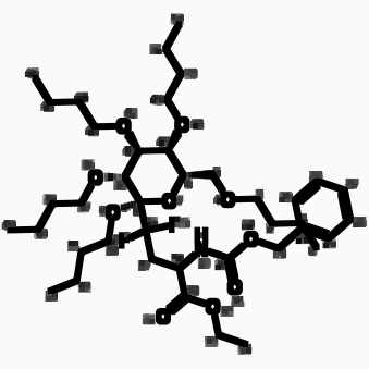 CCCCOC[C@H]1O[C@@](OCCCC)(C(F)(F)CC(NC(=O)OCc2ccccc2)C(=O)OCC)[C@H](OCCCC)[C@@H](OCCCC)[C@H]1OCCCC